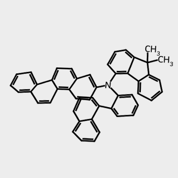 CC1(C)c2ccccc2-c2c(N(c3ccc4c(ccc5c6ccccc6ccc45)c3)c3ccccc3-c3cccc4ccccc34)cccc21